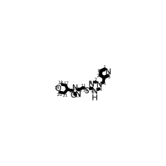 c1cncc(CN2CN=C(SCc3noc(C4CCOCC4)n3)NC2)c1